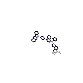 C/C=C\c1c(C)ccc2cc(N(c3ccc(-c4ccc(-n5c6ccccc6c6cc7ccccc7cc65)cc4)cc3)c3ccccc3-c3ccccc3)ccc12